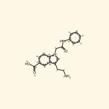 NCCc1cn(CC(=O)Nc2ccccc2)c2ccc(C(=O)O)cc12